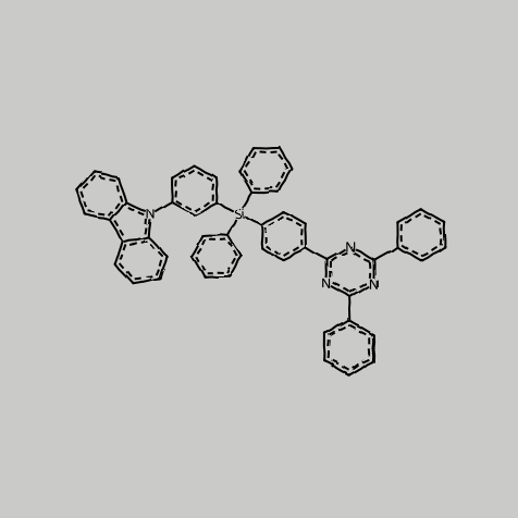 c1ccc(-c2nc(-c3ccccc3)nc(-c3ccc([Si](c4ccccc4)(c4ccccc4)c4cccc(-n5c6ccccc6c6ccccc65)c4)cc3)n2)cc1